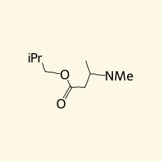 CNC(C)CC(=O)OCC(C)C